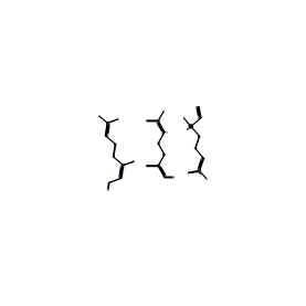 C=CC(C)(O)CCC=C(C)C.CC(C)=CCC/C(C)=C\CO.CC(C)=CCCC(C)=CC=O